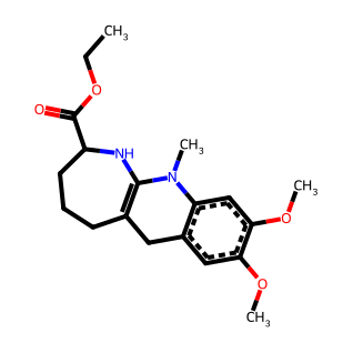 CCOC(=O)C1CCCC2=C(N1)N(C)c1cc(OC)c(OC)cc1C2